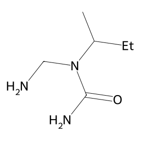 CCC(C)N(CN)C(N)=O